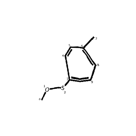 COSc1ccc(C)cc1